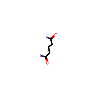 O=C(I)CCCC(=O)I